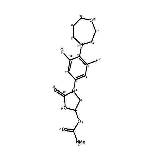 CNC(=O)OC1CN(c2cc(F)c(N3CCCOCC3)c(F)c2)C(=O)O1